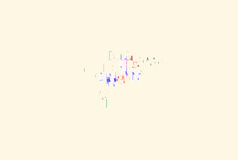 COc1ccnc(C(=O)N[C@@H](C)C(=O)NN=C(c2ccc(Cl)cc2)c2ccc(Cl)cc2)c1OC(=O)OCC(C)C